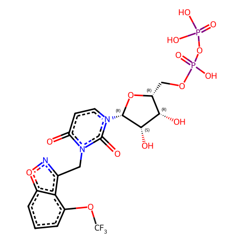 O=c1ccn([C@@H]2O[C@H](COP(=O)(O)OP(=O)(O)O)[C@H](O)[C@@H]2O)c(=O)n1Cc1noc2cccc(OC(F)(F)F)c12